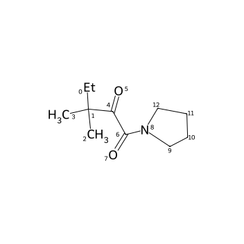 CCC(C)(C)C(=O)C(=O)N1CCCC1